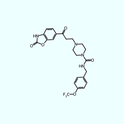 O=C(CCN1CCN(C(=O)NCc2ccc(OC(F)(F)F)cc2)CC1)c1ccc2[nH]c(=O)oc2c1